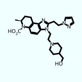 C[C@H]1CCc2c(ccc3c2nc(CCn2cccn2)n3CCN2CCC(CO)CC2)N1C(=O)O